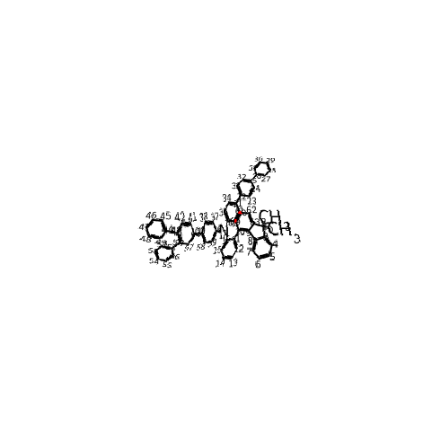 CC1(C)c2ccccc2-c2c(-c3ccccc3N(c3ccc(-c4ccc(-c5ccccc5)cc4)cc3)c3ccc(-c4ccc(-c5ccccc5)c(-c5ccccc5)c4)cc3)cccc21